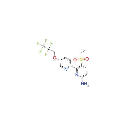 CCS(=O)(=O)c1ccc(N)nc1-c1ccc(OCC(F)(F)C(F)(F)F)cn1